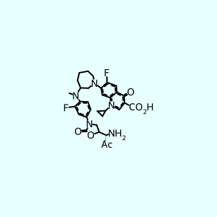 CC(=O)[C@@H](N)C1CN(c2ccc(N(C)C3CCCCN(c4cc5c(cc4F)c(=O)c(C(=O)O)cn5C4CC4)C3)c(F)c2)C(=O)O1